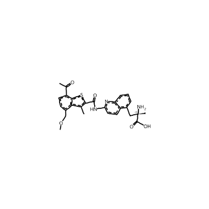 COCc1ccc(C(C)=O)c2sc(C(=O)Nc3ccc4c(C[C@](C)(N)C(=O)O)cccc4n3)c(C)c12